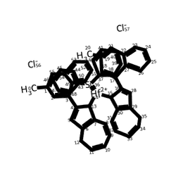 Cc1cc(C2=CC3=C(C=CC=CC3)[CH]2[Hf+2]([CH]2C(c3cc(C)cc4ccccc34)=CC3=C2C=CC=CC3)=[Si](c2ccccc2)c2ccccc2)c2ccccc2c1.[Cl-].[Cl-]